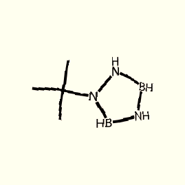 CC(C)(C)N1BNBN1